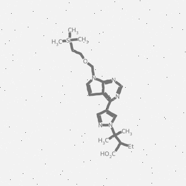 CCC(C(=O)O)C(C)(C)n1cc(-c2ncnc3c2ccn3COCC[Si](C)(C)C)cn1